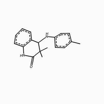 Cc1ccc(NC2c3ccccc3NC(=O)C2(C)C)cc1